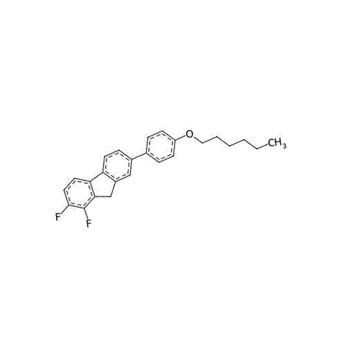 CCCCCCOc1ccc(-c2ccc3c(c2)Cc2c-3ccc(F)c2F)cc1